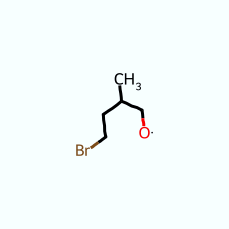 CC(C[O])CCBr